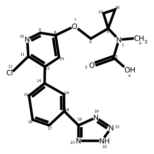 CN(C(=O)O)C1(COc2cnc(Cl)c(-c3cccc(-c4nn[nH]n4)c3)c2)CC1